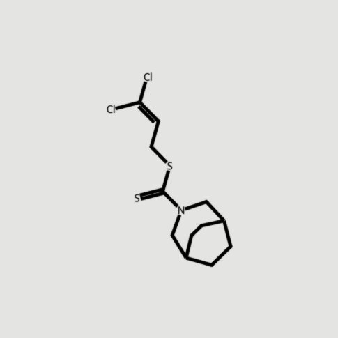 S=C(SCC=C(Cl)Cl)N1CC2CCC(CC2)C1